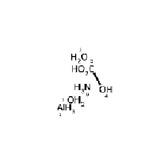 N.O.O.O=C(O)O.[AlH3]